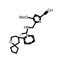 C#Cc1cc(OC)c(CNCC[C@@]2(c3ccccn3)CCOC3(CCCC3)C2)s1